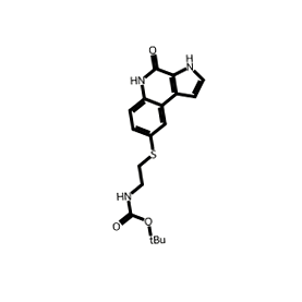 CC(C)(C)OC(=O)NCCSc1ccc2[nH]c(=O)c3[nH]ccc3c2c1